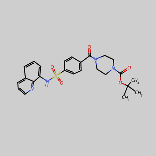 CC(C)(C)OC(=O)N1CCN(C(=O)c2ccc(S(=O)(=O)Nc3cccc4cccnc34)cc2)CC1